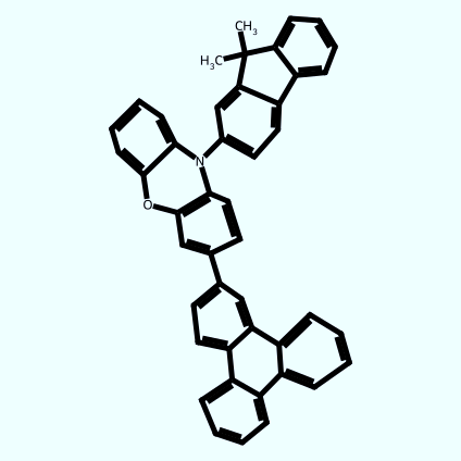 CC1(C)c2ccccc2-c2ccc(N3c4ccccc4Oc4cc(-c5ccc6c7ccccc7c7ccccc7c6c5)ccc43)cc21